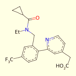 CCN(Cc1cc(C(F)(F)F)ccc1-c1cc(CC(=O)O)ccn1)C(=O)C1CC1